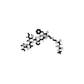 CC[C@H](C)C([C@@H](CC(=O)N1CCC[C@H]1[C@H](OC)[C@@H](C)C(=O)N[C@@H](Cc1ccccc1)C(=O)NCCOCCOC(=O)[C@H](C)NC(=O)OC(C)(C)C)OC)N(C)C(=O)[C@@H](NC(=O)[C@H](C(C)C)N(C)C)C(C)C